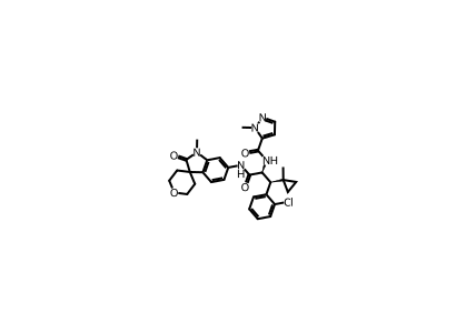 CN1C(=O)C2(CCOCC2)c2ccc(NC(=O)[C@@H](NC(=O)c3ccnn3C)[C@H](c3ccccc3Cl)C3(C)CC3)cc21